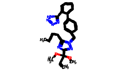 C/C=C/Cc1nc(C(CC)(OC)OC)nn1Cc1ccc(-c2ccccc2-c2nnn[nH]2)cc1